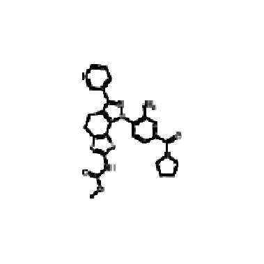 Bc1cc(C(=O)N2CCCC2)ccc1-n1nc(-c2cccnc2)c2c1-c1sc(NC(=O)OC)nc1CC2